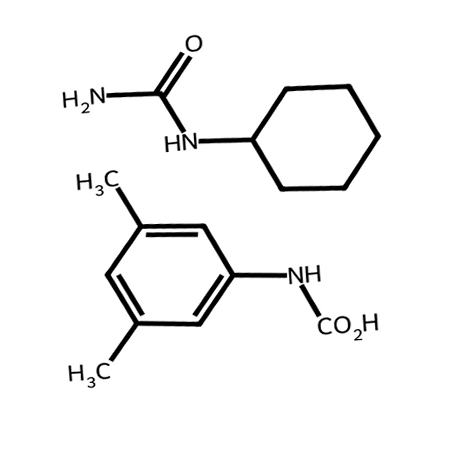 Cc1cc(C)cc(NC(=O)O)c1.NC(=O)NC1CCCCC1